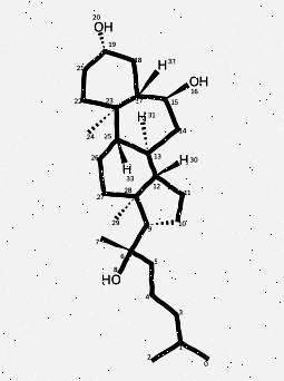 CC(C)CCC[C@](C)(O)[C@H]1CC[C@H]2[C@@H]3C[C@H](O)[C@H]4C[C@@H](O)CC[C@]4(C)[C@H]3CC[C@@]21C